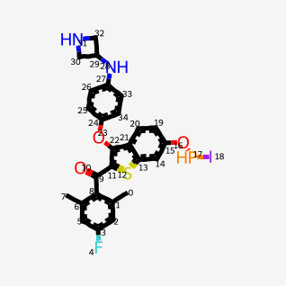 Cc1cc(F)cc(C)c1C(=O)c1sc2cc(OPI)ccc2c1Oc1ccc(NC2CNC2)cc1